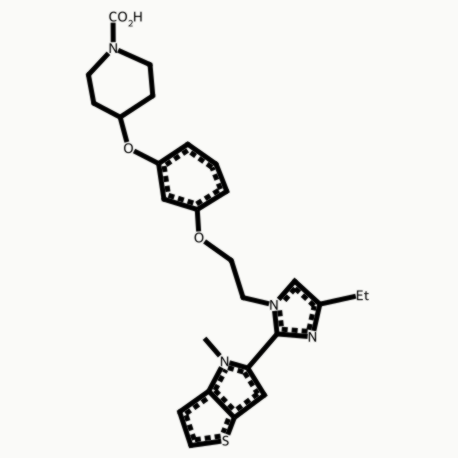 CCc1cn(CCOc2cccc(OC3CCN(C(=O)O)CC3)c2)c(-c2cc3sccc3n2C)n1